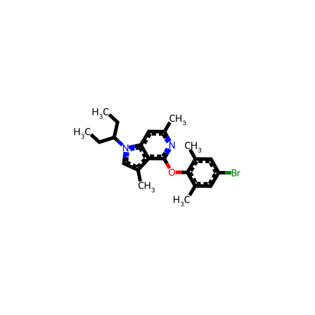 CCC(CC)n1cc(C)c2c(Oc3c(C)cc(Br)cc3C)nc(C)cc21